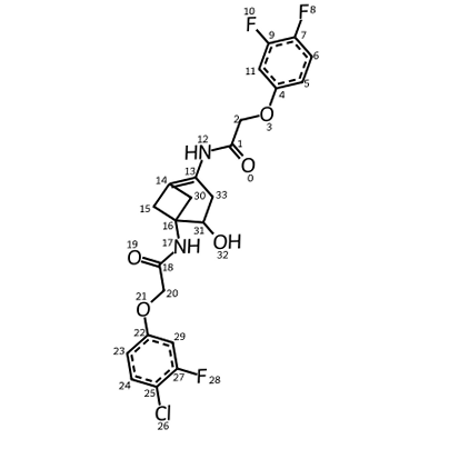 O=C(COc1ccc(F)c(F)c1)NC1=C2CC(NC(=O)COc3ccc(Cl)c(F)c3)(C2)C(O)C1